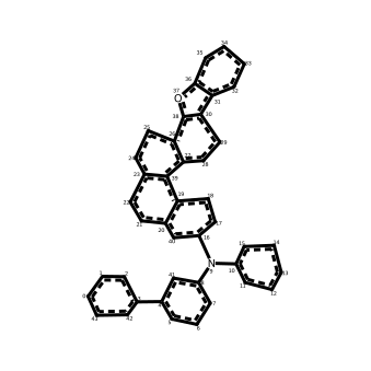 c1ccc(-c2cccc(N(c3ccccc3)c3ccc4c(ccc5ccc6c(ccc7c8ccccc8oc76)c54)c3)c2)cc1